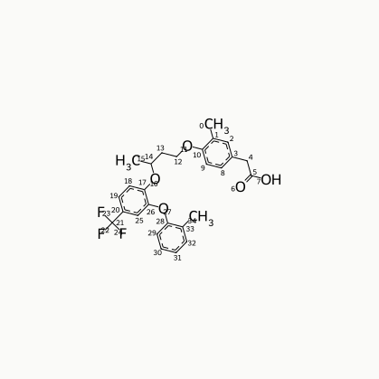 Cc1cc(CC(=O)O)ccc1OCCC(C)Oc1ccc(C(F)(F)F)cc1Oc1ccccc1C